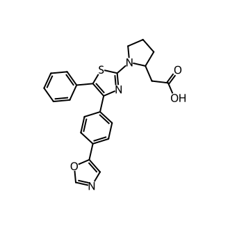 O=C(O)CC1CCCN1c1nc(-c2ccc(-c3cnco3)cc2)c(-c2ccccc2)s1